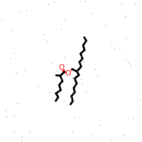 CCCCCCCCC(CCCCCCCC)COC(=O)C(C)CCCCCC